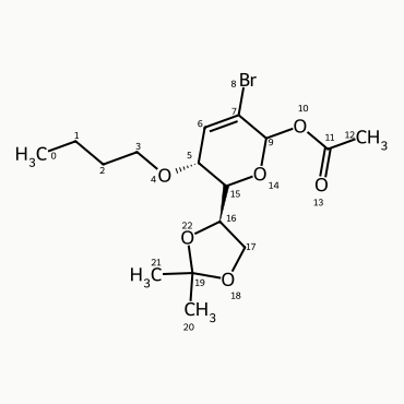 CCCCO[C@@H]1C=C(Br)C(OC(C)=O)OC1[C@H]1COC(C)(C)O1